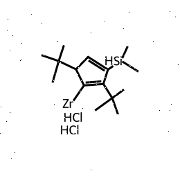 C[SiH](C)C1=CC(C(C)(C)C)[C]([Zr])=C1C(C)(C)C.Cl.Cl